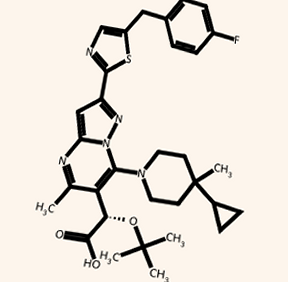 Cc1nc2cc(-c3ncc(Cc4ccc(F)cc4)s3)nn2c(N2CCC(C)(C3CC3)CC2)c1[C@H](OC(C)(C)C)C(=O)O